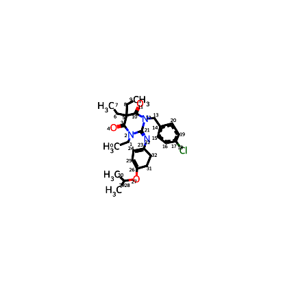 CCN1C(=O)C(CC)(CC)C(=O)N(Cc2ccc(Cl)cc2)/C1=N/C1=CC=C(OC(C)C)CC1